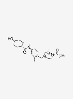 Cc1cc(N(C)C(=O)[C@H]2CC[C@H](O)CC2)ccc1CN1CCN(C(=O)O)[C@@H](C)C1